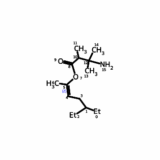 CCC(CC)C/C=C(/C)OC(=O)C(C)C(C)(C)N